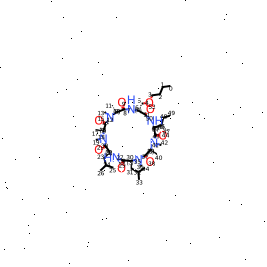 CCCCOC[C@H]1NC(=O)[C@@H](C)N(C)C(=O)[C@H](C)N(C)C(=O)[C@H](CC(C)C)NC(=O)[C@H](CC(C)C)N(C)C(=O)[C@H](C)N(C)C(=O)[C@@H]([C@@H](C)CC)NC1=O